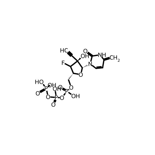 C#C[C@@]1(O)C(F)[C@@H](COP(=O)(O)OP(=O)(O)OP(=O)(O)O)O[C@H]1N1C=CC(=C)NC1=O